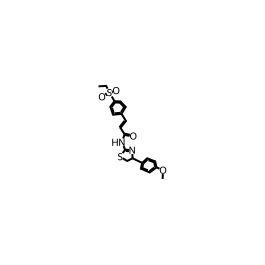 CCS(=O)(=O)c1ccc(/C=C/C(=O)NC2=NC(c3ccc(OC)cc3)CS2)cc1